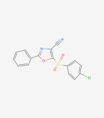 N#Cc1nc(-c2ccccc2)oc1S(=O)(=O)c1ccc(Cl)cc1